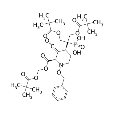 CC(C)(C)C(=O)OCOC(=O)[C@H]1C(=C=O)[C@@H](C(COC(=O)C(C)(C)C)(COC(=O)C(C)(C)C)P(=O)(O)O)CCN1OCc1ccccc1